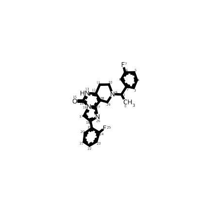 CC(c1cccc(F)c1)N1CCc2[nH]c(=O)n3cc(-c4ccccc4F)nc3c2C1